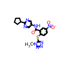 Cn1nnnc1Sc1ccc([N+](=O)[O-])cc1C(=O)Nc1cnc(C2CCCC2)nc1